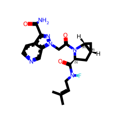 CC(C)=CCN(F)C(=O)[C@@H]1C[C@H]2C[C@H]2N1C(=O)Cn1nc(C(N)=O)c2ccncc21